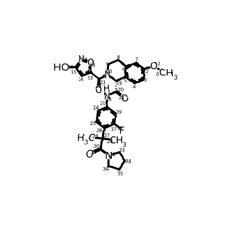 COc1ccc2c(c1)CCN(C(=O)c1cc(O)no1)[C@H]2C(=O)Nc1ccc(C(C)(C)C(=O)N2CCCC2)c(F)c1